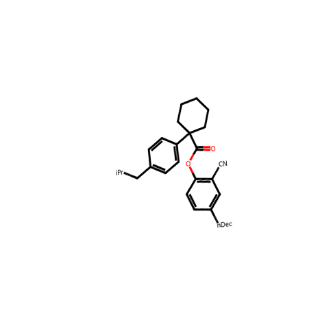 CCCCCCCCCCc1ccc(OC(=O)C2(c3ccc(CC(C)C)cc3)CCCCC2)c(C#N)c1